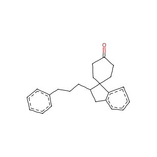 O=C1CCC2(CC1)c1ccccc1CC2CCCc1ccccc1